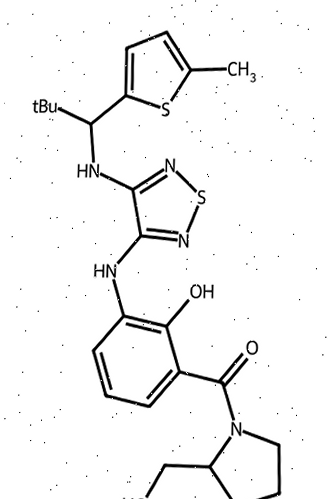 Cc1ccc(C(Nc2nsnc2Nc2cccc(C(=O)N3CCCC3CO)c2O)C(C)(C)C)s1